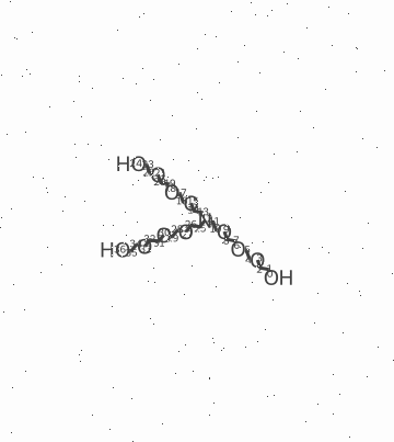 OCCOCCOCCOCCN(CCOCCOCCOCCO)CCOCCOCCOCCO